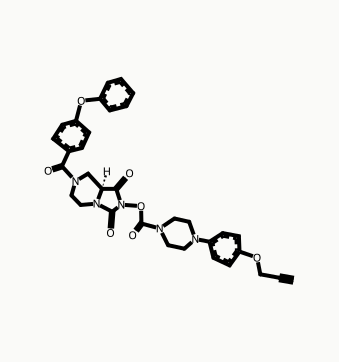 C#CCOc1ccc(N2CCN(C(=O)ON3C(=O)[C@@H]4CN(C(=O)c5ccc(Oc6ccccc6)cc5)CCN4C3=O)CC2)cc1